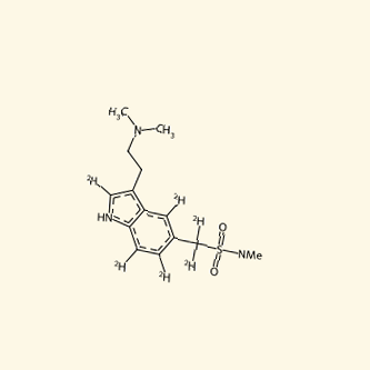 [2H]c1[nH]c2c([2H])c([2H])c(C([2H])([2H])S(=O)(=O)NC)c([2H])c2c1CCN(C)C